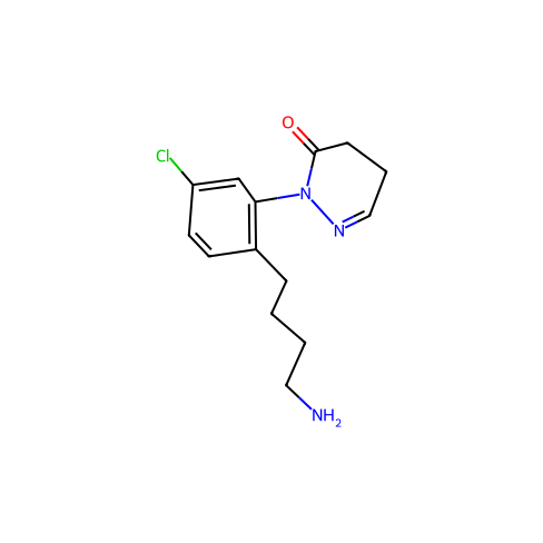 NCCCCc1ccc(Cl)cc1N1N=CCCC1=O